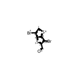 O=Cc1sc2c(Br)csc2c1Br